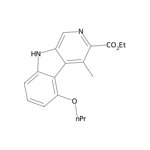 CCCOc1cccc2[nH]c3cnc(C(=O)OCC)c(C)c3c12